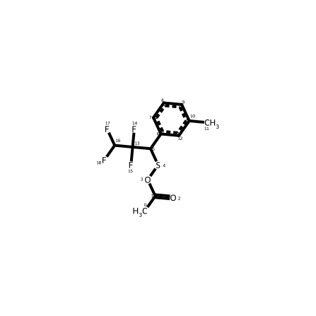 CC(=O)OSC(c1cccc(C)c1)C(F)(F)C(F)F